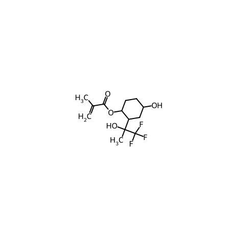 C=C(C)C(=O)OC1CCC(O)CC1C(C)(O)C(F)(F)F